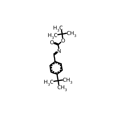 CC(C)(C)OC(=O)N=Cc1ccc(C(C)(C)C)cc1